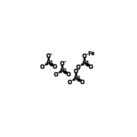 O=[N+]([O-])[O-].O=[N+]([O-])[O-].O=[N+]([O-])[O-].O=[N+]([O-])[O-].[Fe]